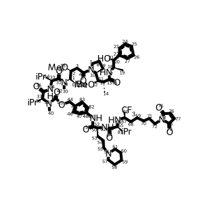 CC[C@H](C)[C@@H]([C@@H](CC(=O)N1CCC[C@H]1[C@H](OC)[C@@H](C)C(=O)N[C@H](C)[C@@H](O)c1ccccc1)OC)N(C)C(=O)[C@@H](NC(=O)[C@H](C(C)C)N(C)C(=O)OCc1ccc(NC(=O)[C@H](CCCN2CCCCC2)NC(=O)[C@@H](N[C@H](CCCCCN2C(=O)C=CC2=O)C(F)(F)F)C(C)C)cc1)C(C)C